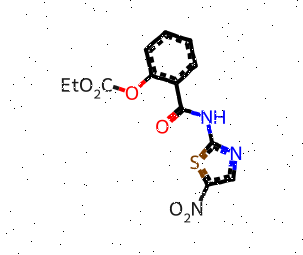 CCOC(=O)Oc1ccccc1C(=O)Nc1ncc([N+](=O)[O-])s1